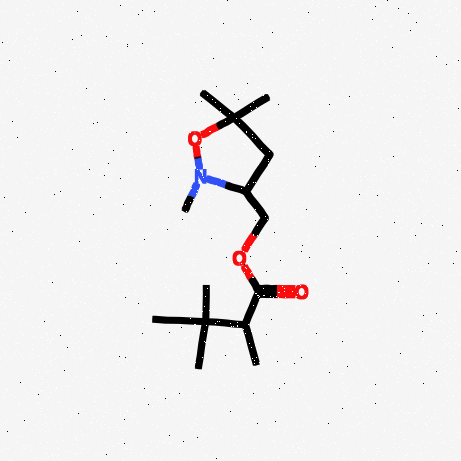 CC(C(=O)OCC1CC(C)(C)ON1C)C(C)(C)C